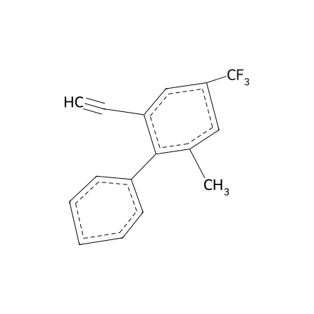 C#Cc1cc(C(F)(F)F)cc(C)c1-c1ccccc1